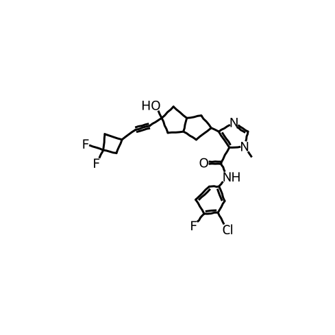 Cn1cnc(C2CC3CC(O)(C#CC4CC(F)(F)C4)CC3C2)c1C(=O)Nc1ccc(F)c(Cl)c1